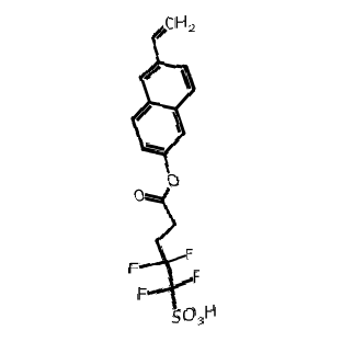 C=Cc1ccc2cc(OC(=O)CCC(F)(F)C(F)(F)S(=O)(=O)O)ccc2c1